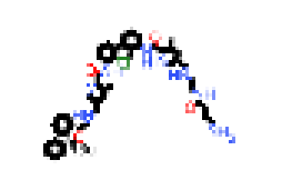 Cc1cc(CNCCNC(=O)CCCN)cnc1C(=O)Nc1cccc(-c2cccc(NC(=O)c3ncc(CNCCO[Si](c4ccccc4)(c4ccccc4)C(C)(C)C)cc3C)c2Cl)c1C